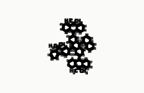 CC1(C)C2=C(C=CCC2)N(c2ccc3c(-c4cccc5ccccc45)c4cc(N5c6ccccc6C(C)(C)c6ccccc65)ccc4c(-c4ccc5c(c4)C(C)(C)c4ccccc4-5)c3c2)c2ccccc21